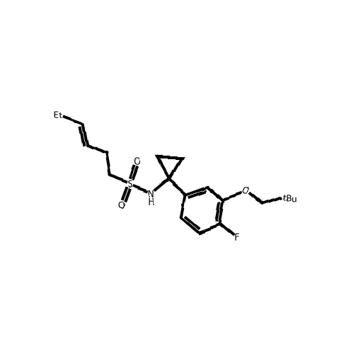 CC/C=C/CCS(=O)(=O)NC1(c2ccc(F)c(OCC(C)(C)C)c2)CC1